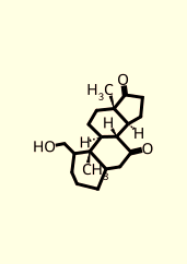 C[C@]12C(CO)CCCC1CC(=O)[C@@H]1[C@@H]2CC[C@]2(C)C(=O)CC[C@@H]12